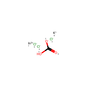 O=C([O-])O.[Cl-].[Cl-].[Cl-].[In+3].[K+]